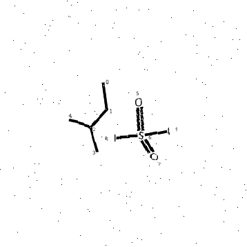 CCC(C)C.O=S(=O)(I)I